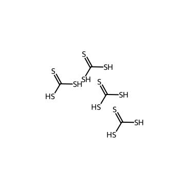 S=C(S)S.S=C(S)S.S=C(S)S.S=C(S)S